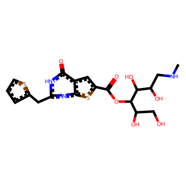 CNCC(O)C(O)C(OC(=O)c1cc2c(=O)[nH]c(Cc3cccs3)nc2s1)C(O)CO